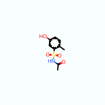 CC(=O)NS(=O)(=O)c1cc(O)ccc1C